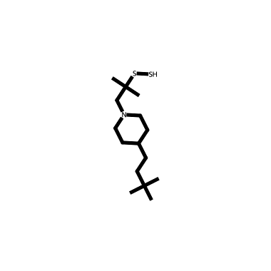 CC(C)(C)CCC1CCN(CC(C)(C)SS)CC1